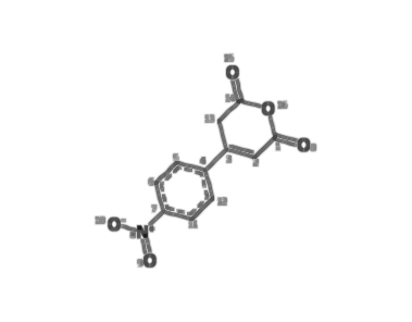 O=C1C=C(c2ccc([N+](=O)[O-])cc2)CC(=O)O1